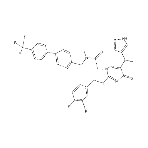 CC(c1cn[nH]c1)c1cn(CC(=O)N(C)Cc2ccc(-c3ccc(C(F)(F)F)cc3)cc2)c(SCc2ccc(F)c(F)c2)nc1=O